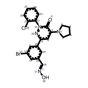 O=c1c(N2CCCC2)cc(-c2cc(Br)cc(/C=N/O)c2)nn1-c1ccccc1Cl